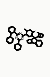 CC1CC2=C(C=C1c1nc(-c3ccccc3)nc(-c3ccccc3-c3ccccc3)n1)C1(C3=C(CCC=C3)c3ccccc31)C1(C)CC=CC=C1O2